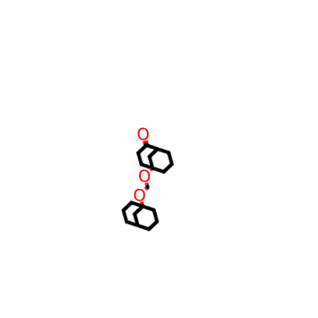 O=C1CCC2(OCOC34CCCC(CCC3)C4)CCCC1C2